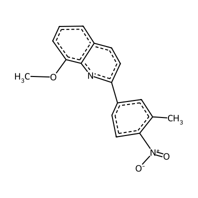 COc1cccc2ccc(-c3ccc([N+](=O)[O-])c(C)c3)nc12